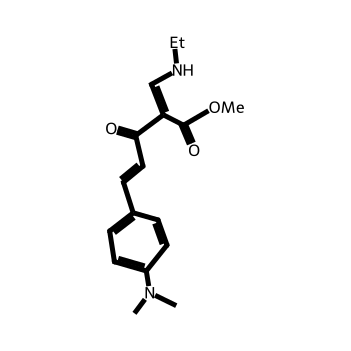 CCN/C=C(/C(=O)/C=C/c1ccc(N(C)C)cc1)C(=O)OC